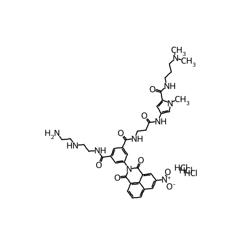 CN(C)CCCNC(=O)c1cc(NC(=O)CCNC(=O)c2cc(C(=O)NCCNCCN)cc(N3C(=O)c4cccc5cc([N+](=O)[O-])cc(c45)C3=O)c2)cn1C.Cl.Cl.Cl